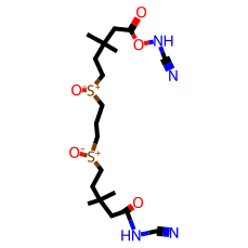 CC(C)(CC[S+]([O-])CCC[S+]([O-])CCC(C)(C)CC(=O)ONC#N)CC(=O)NC#N